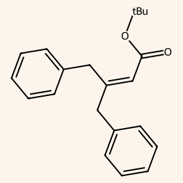 CC(C)(C)OC(=O)C=C(Cc1ccccc1)Cc1ccccc1